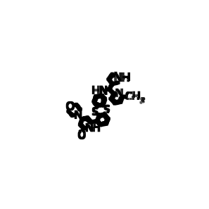 Cc1cccc(C(Nc2ccc3c(c2)Sc2cccc(-c4cc(N5CCOCC5)cc(=O)[nH]4)c2S3)C2CCNC2)n1